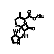 CC1=C(C(=O)OC(C)(C)C)N2C(=O)C(Nc3ncc[nH]3)[C@H]2SC1